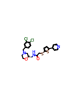 O=C(CSc1ccc(-c2ccncc2)s1)NC[C@H]1CN(Cc2ccc(Cl)c(Cl)c2)CCO1